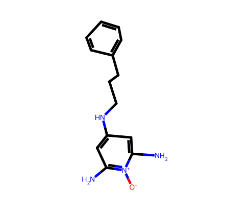 Nc1cc(NCCCc2ccccc2)cc(N)[n+]1[O-]